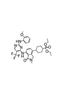 CCOP(=O)(OCC)C1CCC(c2ccc(Nc3nc(Nc4ccccc4OC)ncc3C(F)(F)F)c3c2CN(C)C3=O)CC1